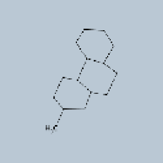 CC1CCC2C(CCC3CCCCC32)C1